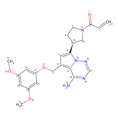 C=CC(=O)N1CC[C@H](c2cc(COc3cc(OC)cc(OC)c3)c3c(N)ncnn23)C1